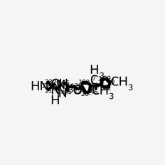 Cc1ccc(C(C)(C)c2ccc(OCc3cnc(NC4(C)CNC4)nc3)cc2)cc1